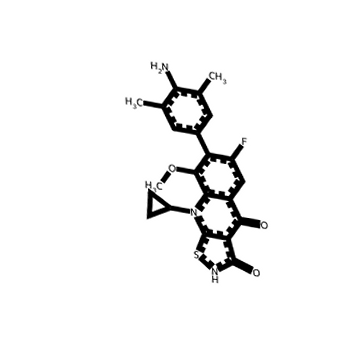 COc1c(-c2cc(C)c(N)c(C)c2)c(F)cc2c(=O)c3c(=O)[nH]sc3n(C3CC3)c12